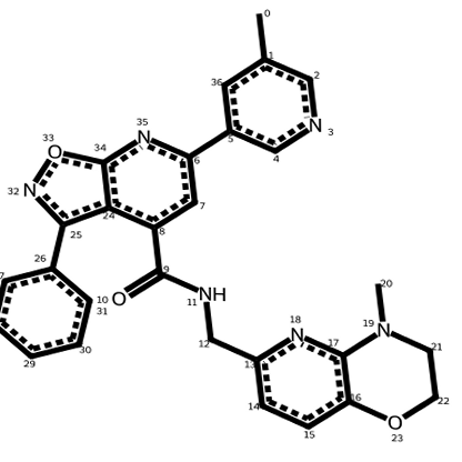 Cc1cncc(-c2cc(C(=O)NCc3ccc4c(n3)N(C)CCO4)c3c(-c4ccccc4)noc3n2)c1